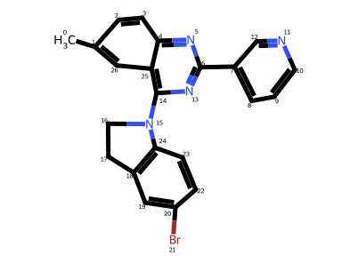 Cc1ccc2nc(-c3cccnc3)nc(N3CCc4cc(Br)ccc43)c2c1